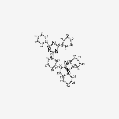 c1ccc(-c2nc(-c3ccccc3)nc(-c3cccc(-c4cc5ccccc5n5c4nc4ccccc45)c3)n2)cc1